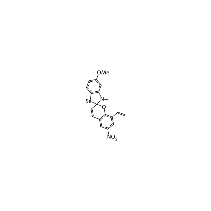 C=Cc1cc([N+](=O)[O-])cc2c1OC1(C=C2)[Se]c2ccc(OC)cc2N1C